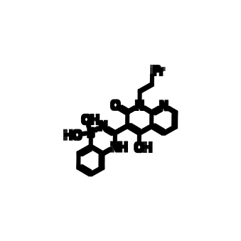 CC(C)CCn1c(=O)c(C2=NS(O)(O)c3ccccc3N2)c(O)c2cccnc21